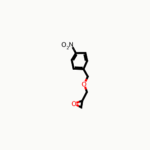 O=[N+]([O-])c1ccc(COCC2CO2)cc1